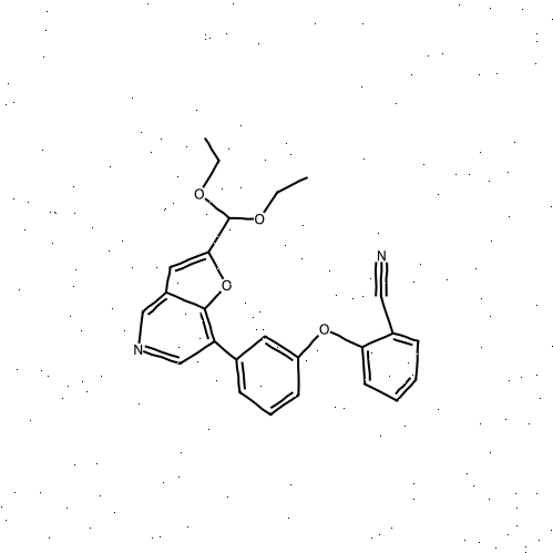 CCOC(OCC)c1cc2cncc(-c3cccc(Oc4ccccc4C#N)c3)c2o1